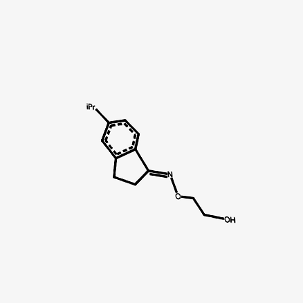 CC(C)c1ccc2c(c1)CC/C2=N\OCCO